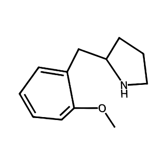 COc1ccccc1CC1CCCN1